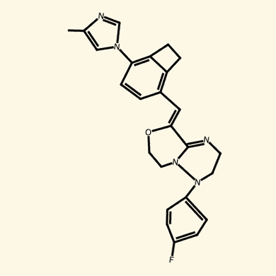 Cc1cn(-c2ccc(/C=C3\OCCN4C3=NCCN4c3ccc(F)cc3)c3c2CC3)cn1